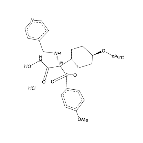 CCCCCO[C@H]1CC[C@H]([C@](NCc2ccncc2)(C(=O)NO)S(=O)(=O)c2ccc(OC)cc2)CC1.Cl